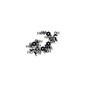 Cc1ccc(SOOO)cc1Nc1nc(Nc2ccc(/C=C/c3ccc(Nc4nc(Nc5cc(S(=O)(=O)O)ccc5S(=O)(=O)O)nc(N(CC(C)O)CC(C)O)n4)cc3S(=O)(=O)O)c(S(=O)(=O)O)c2)nc(N(CC(C)O)CC(C)O)n1